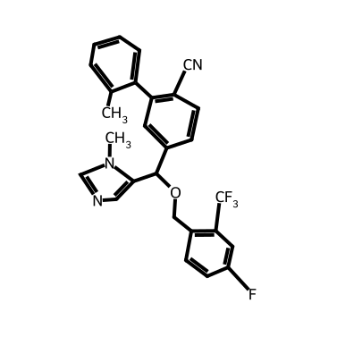 Cc1ccccc1-c1cc(C(OCc2ccc(F)cc2C(F)(F)F)c2cncn2C)ccc1C#N